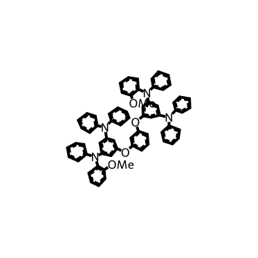 COc1ccccc1N(c1ccccc1)c1cc(Oc2cccc(Oc3cc(N(c4ccccc4)c4ccccc4)cc(N(c4ccccc4)c4ccccc4OC)c3)c2)cc(N(c2ccccc2)c2ccccc2)c1